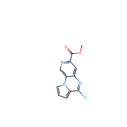 COC(=O)c1cc2nc(Cl)c3cccn3c2cn1